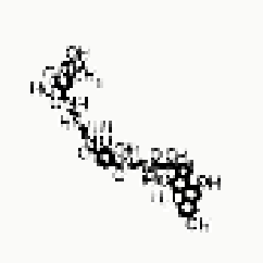 Cc1cc(C(=O)NCCNCCNC(=O)c2ccc(C(=O)NCCNC(=O)CC(C)C3CCC4C5C(C[C@@H](O)[C@@]34C)[C@]3(C)CC[C@H](O)CC3C[C@@H]5O)c(O)c2O)c(O)c(=O)n1CC(=O)O